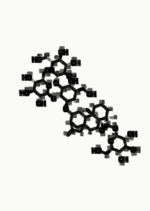 C=C1CC23CC[C@@H]4[C@](C)(C(=O)OC5O[C@H](CO)[C@@H](O)[C@H](O)[C@H]5O)CCC[C@@]4(C)C2CC(O[C@@H]2C[C@H](CO)[C@@H](O)C(O[C@@H]4C[C@H](CO)[C@@H](O)[C@H](O)[C@H]4O)[C@H]2O[C@@H]2O[C@H](CO)[C@@H](O)[C@H](O)[C@H]2O)C1C3